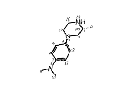 C[C@@H]1CN(c2ccc(N(C)C)cc2)CCN1